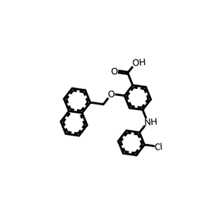 O=C(O)c1ccc(Nc2ccccc2Cl)cc1OCc1cccc2ccccc12